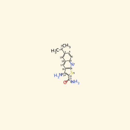 CC(C)c1ccc2nc3sc(C(N)=O)c(N)c3cc2c1